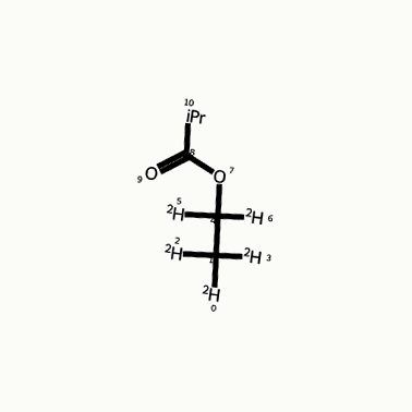 [2H]C([2H])([2H])C([2H])([2H])OC(=O)C(C)C